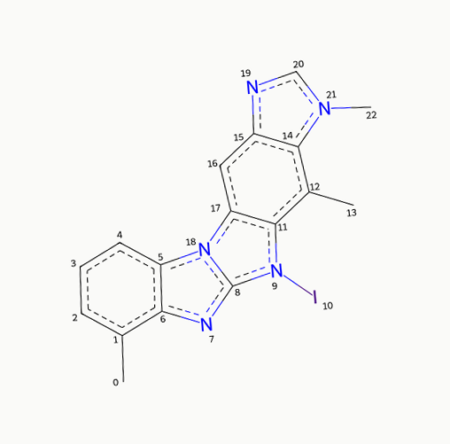 Cc1cccc2c1nc1n(I)c3c(C)c4c(cc3n21)ncn4C